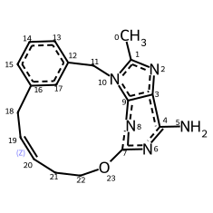 Cc1nc2c(N)nc3nc2n1Cc1cccc(c1)C/C=C\CCO3